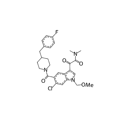 COCn1cc(C(=O)C(=O)N(C)C)c2cc(C(=O)N3CCC(Cc4ccc(F)cc4)CC3)c(Cl)cc21